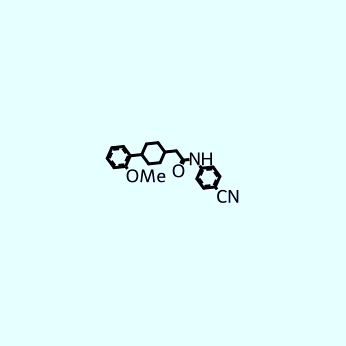 COc1ccccc1C1CCC(CC(=O)Nc2ccc(C#N)cc2)CC1